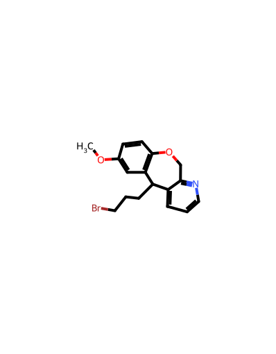 COc1ccc2c(c1)C(CCCBr)c1cccnc1CO2